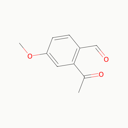 COc1ccc(C=O)c(C(C)=O)c1